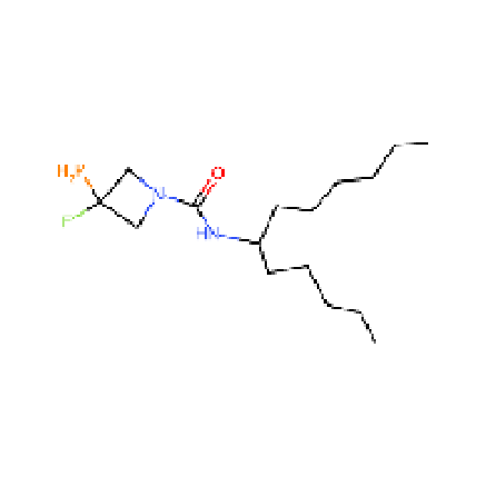 CCCCCCC(CCCCC)NC(=O)N1CC(F)(P)C1